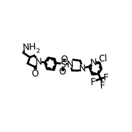 NCC1CC(=O)N(c2ccc(S(=O)(=O)N3CCN(c4cc(C(F)(F)F)cc(Cl)n4)CC3)cc2)C1